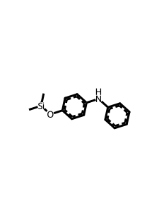 C[Si](C)Oc1ccc(Nc2ccccc2)cc1